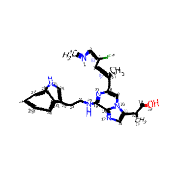 C=N/C=C(F)\C=C(/C)c1cn2c(C(C)CO)cnc2c(NCCc2c[nH]c3ccccc23)n1